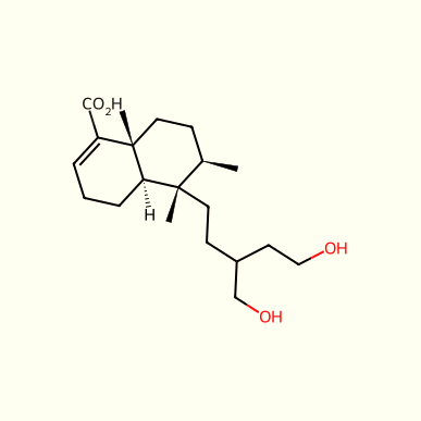 C[C@@H]1CC[C@@]2(C)C(C(=O)O)=CCC[C@@H]2[C@@]1(C)CCC(CO)CCO